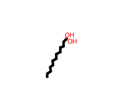 CCCCCCCCCCCC[C](O)O